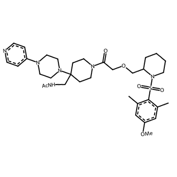 COc1cc(C)c(S(=O)(=O)N2CCCCC2COCC(=O)N2CCC(CNC(C)=O)(N3CCN(c4ccncc4)CC3)CC2)c(C)c1